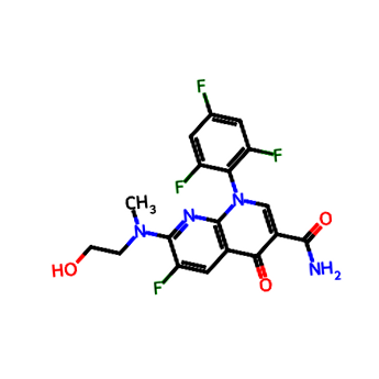 CN(CCO)c1nc2c(cc1F)c(=O)c(C(N)=O)cn2-c1c(F)cc(F)cc1F